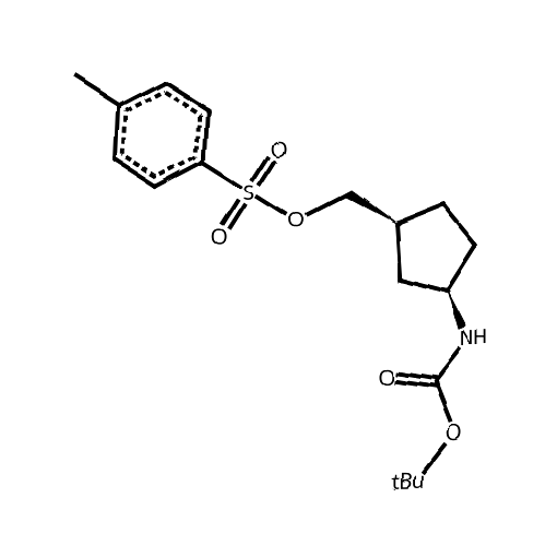 Cc1ccc(S(=O)(=O)OC[C@H]2CC[C@@H](NC(=O)OC(C)(C)C)C2)cc1